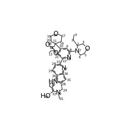 CCC1COCCN1c1cc(C2(S(C)(=O)=O)CCOCC2)cc(-c2ccc3[nH]c(CN(C)C(=O)O)cc3n2)n1